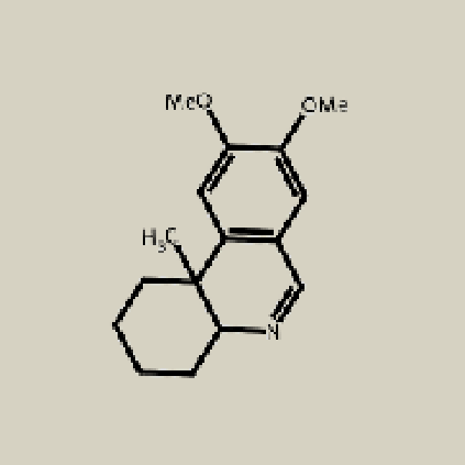 COc1cc2c(cc1OC)C1(C)CCCCC1N=C2